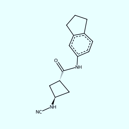 N#CN[C@H]1C[C@H](C(=O)Nc2ccc3c(c2)CCC3)C1